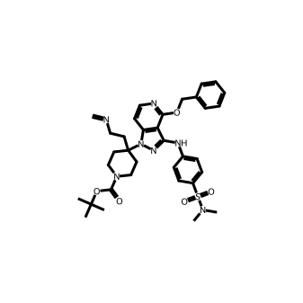 C=NCCC1(n2nc(Nc3ccc(S(=O)(=O)N(C)C)cc3)c3c(OCc4ccccc4)nccc32)CCN(C(=O)OC(C)(C)C)CC1